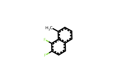 Cc1cccc2ccc(F)c(F)c12